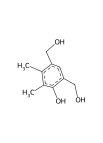 Cc1c(CO)cc(CO)c(O)c1C